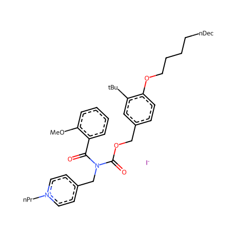 CCCCCCCCCCCCCCOc1ccc(COC(=O)N(Cc2cc[n+](CCC)cc2)C(=O)c2ccccc2OC)cc1C(C)(C)C.[I-]